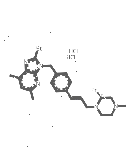 CCc1nc2c(C)cc(C)nc2n1Cc1ccc(/C=C/CN2CCN(C)C[C@@H]2C(C)C)cc1.Cl.Cl